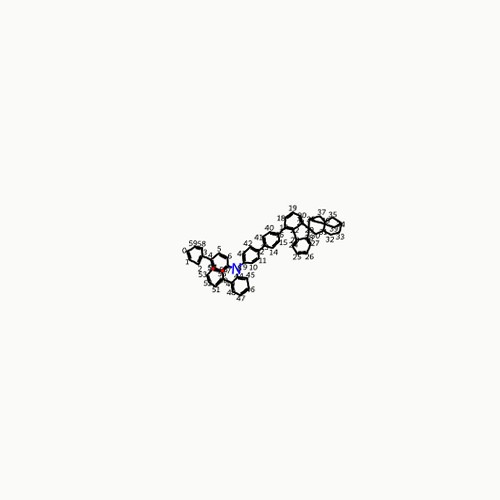 c1ccc(-c2ccc(N(c3ccc(-c4ccc(-c5cccc6c5-c5ccccc5C65CC6CCC7CC6CC5C7)cc4)cc3)c3ccccc3-c3ccccc3)cc2)cc1